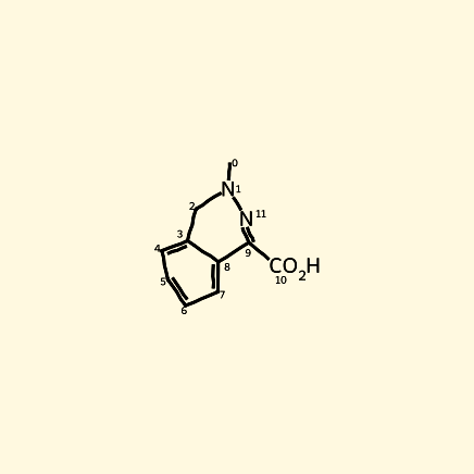 CN1Cc2ccccc2C(C(=O)O)=N1